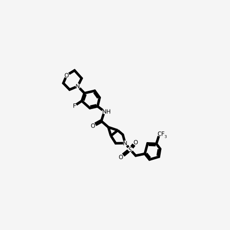 O=C(Nc1ccc(N2CCOCC2)c(F)c1)C1C2CN(S(=O)(=O)Cc3cccc(C(F)(F)F)c3)CC21